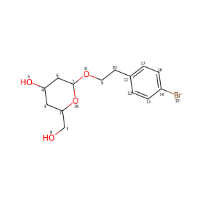 OCC1CC(O)CC(OCCc2ccc(Br)cc2)O1